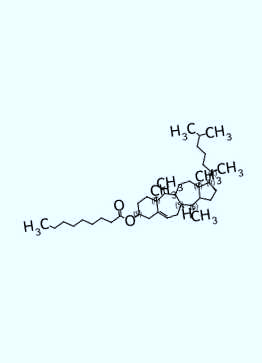 CCCCCCCCC(=O)O[C@H]1CC[C@@]2(C)C(=CC[C@@H]3C(CC[C@@]4(C)C(CC[C@@H]4[C@H](C)CCCC(C)C)[C@H]3C)C2C)C1